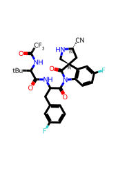 CC(C)(C)C(NC(=O)C(F)(F)F)C(=O)NC(Cc1cccc(F)c1)C(=O)N1C(=O)[C@@]2(CN[C@H](C#N)C2)c2cc(F)ccc21